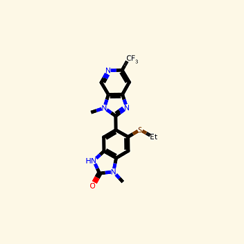 CCSc1cc2c(cc1-c1nc3cc(C(F)(F)F)ncc3n1C)[nH]c(=O)n2C